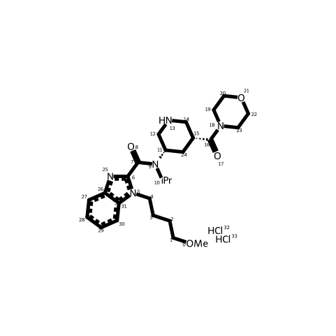 COCCCCn1c(C(=O)N(C(C)C)[C@@H]2CNC[C@H](C(=O)N3CCOCC3)C2)nc2ccccc21.Cl.Cl